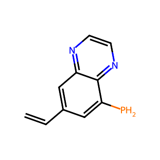 C=Cc1cc(P)c2nccnc2c1